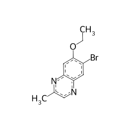 CCOc1cc2nc(C)cnc2cc1Br